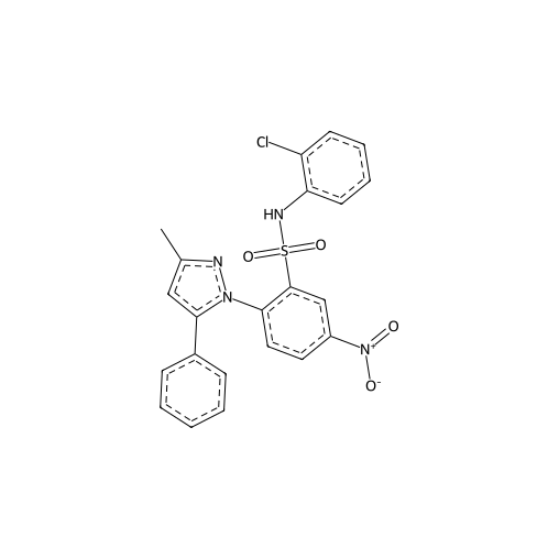 Cc1cc(-c2ccccc2)n(-c2ccc([N+](=O)[O-])cc2S(=O)(=O)Nc2ccccc2Cl)n1